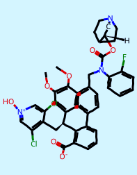 COc1ccc([C@H](Cc2c(Cl)c[n+](O)cc2Cl)c2c(C(=O)[O-])cccc2-c2ccc(CN(C(=O)O[C@H]3CN4CCC3CC4)c3ccccc3F)cc2)cc1OC